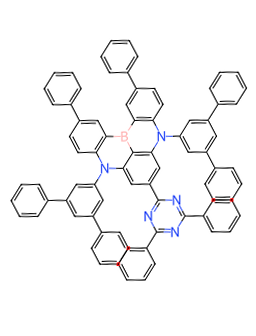 c1ccc(-c2cc(-c3ccccc3)cc(N3c4ccc(-c5ccccc5)cc4B4c5cc(-c6ccccc6)ccc5N(c5cc(-c6ccccc6)cc(-c6ccccc6)c5)c5cc(-c6nc(-c7ccccc7)nc(-c7ccccc7)n6)cc3c54)c2)cc1